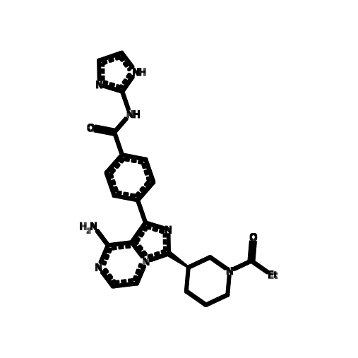 CCC(=O)N1CCC[C@@H](c2nc(-c3ccc(C(=O)Nc4ncc[nH]4)cc3)c3c(N)nccn23)C1